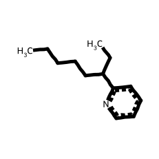 CCCCCC(CC)c1ccccn1